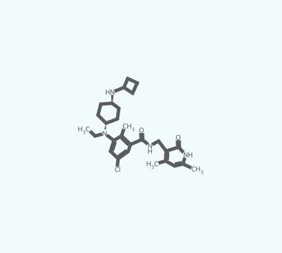 CCN(c1cc(Cl)cc(C(=O)NCc2c(C)cc(C)[nH]c2=O)c1C)[C@H]1CC[C@H](NC2CCC2)CC1